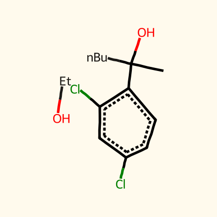 CCCCC(C)(O)c1ccc(Cl)cc1Cl.CCO